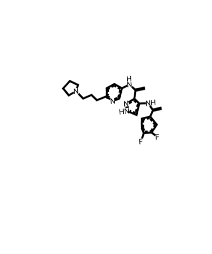 C=C(Nc1c[nH]nc1C(=C)Nc1ccc(CCCN2CCCC2)nc1)c1ccc(F)c(F)c1